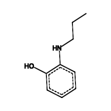 CCCNc1ccccc1O